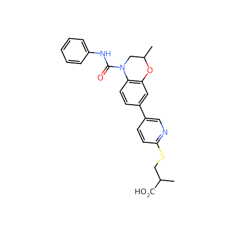 CC1CN(C(=O)Nc2ccccc2)c2ccc(-c3ccc(SCC(C)C(=O)O)nc3)cc2O1